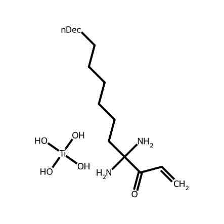 C=CC(=O)C(N)(N)CCCCCCCCCCCCCCCC.[OH][Ti]([OH])([OH])[OH]